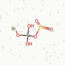 O=P(=O)O[Si](O)(O)OBr